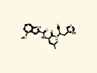 COc1cccc2[nH]c(C(=O)NC(CC(C)C)C(=O)NC(C#N)Cc3cnc[nH]3)cc12